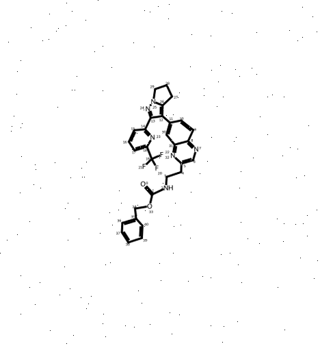 O=C(NCCc1cnc2ccc(-c3c(-c4cccc(C(F)(F)F)n4)nn4c3CCC4)cc2n1)OCc1ccccc1